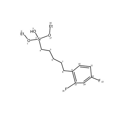 CCO[Si](O)(CCCCCc1ccc(F)cc1F)OCC